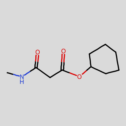 CNC(=O)CC(=O)OC1CCCCC1